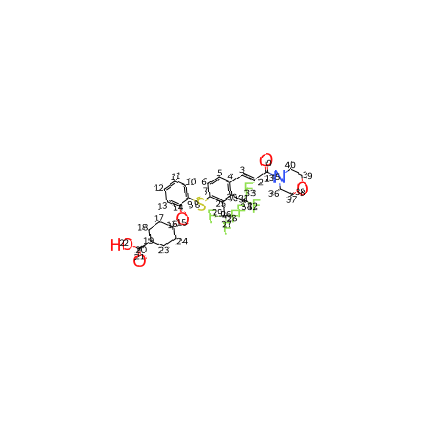 O=C(C=Cc1ccc(Sc2ccccc2O[C@H]2CC[C@H](C(=O)O)CC2)c(C(F)(F)F)c1C(F)(F)F)N1CCOCC1